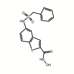 O=C(NO)c1cc2cc(NS(=O)(=O)Cc3ccccc3)ccc2s1